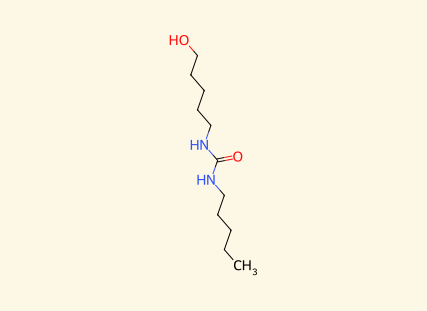 CCCCCNC(=O)NCCCCCO